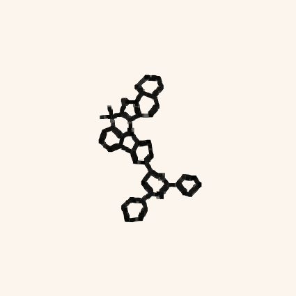 CC1(C)c2oc3c(ccc4ccccc43)c2-n2c3ccc(-c4cc(-c5ccccc5)nc(-c5ccccc5)n4)cc3c3cccc1c32